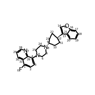 Fc1ccc(N2CCN([C@H]3CC[C@H](c4coc5ccccc54)CC3)CC2)c2ncccc12